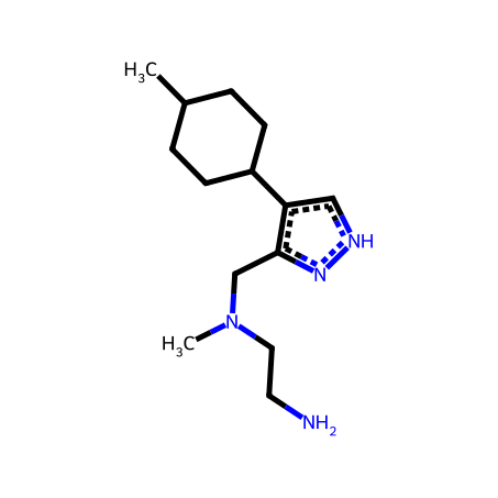 CC1CCC(c2c[nH]nc2CN(C)CCN)CC1